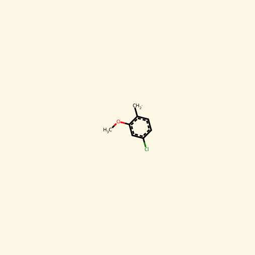 [CH2]c1ccc(Cl)cc1OC